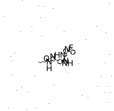 CCCCC(=O)Nc1cncc(-c2ccc3[nH]nc(-c4cc5c(-c6ccccc6F)nccc5[nH]4)c3c2)c1